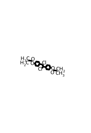 C=C(C)C(=O)Oc1ccc(C(Cl)=C(Cl)c2ccc(OC(=O)C(=C)C)cc2)cc1